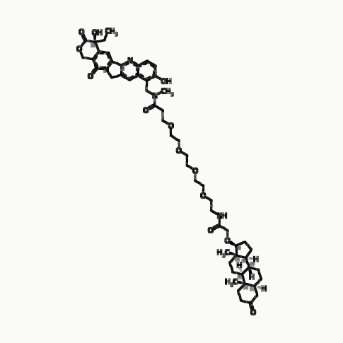 CC[C@@]1(O)C(=O)OCc2c1cc1n(c2=O)Cc2cc3c(CN(C)C(=O)CCOCCOCCOCCOCCNC(=O)CO[C@H]4CC[C@H]5[C@@H]6CC[C@H]7CC(=O)CC[C@]7(C)[C@H]6CC[C@]45C)c(O)ccc3nc2-1